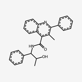 Cc1c(-c2ccccc2)nc2ccccc2c1C(=O)NC(c1ccccc1)C(C)O